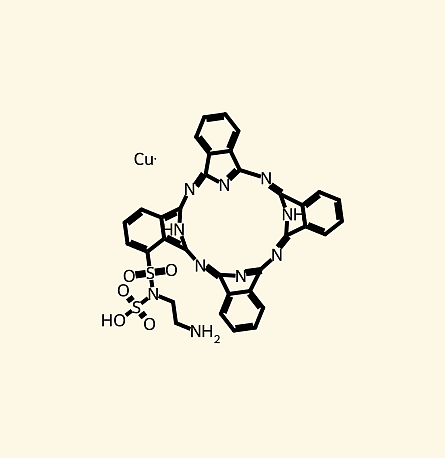 NCCN(S(=O)(=O)O)S(=O)(=O)c1cccc2c3nc4nc(nc5[nH]c(nc6nc(nc([nH]3)c12)-c1ccccc1-6)c1ccccc51)-c1ccccc1-4.[Cu]